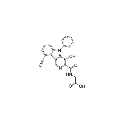 N#Cc1cccc2c1c1cnc(C(=O)NCC(=O)O)c(O)c1n2-c1ccccc1